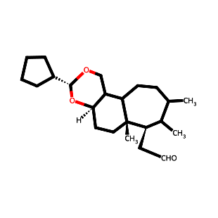 CC1CCC2C3CO[C@@H](C4CCCC4)O[C@@H]3CC[C@@]2(C)[C@H](CC=O)C1C